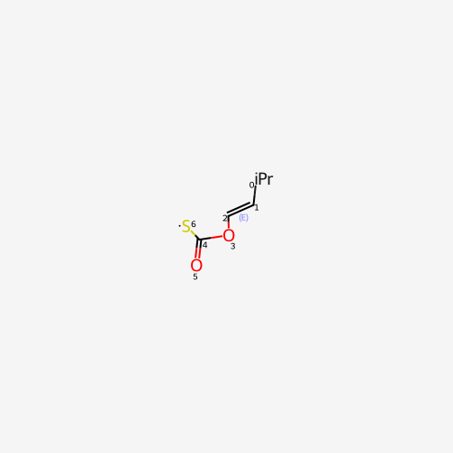 CC(C)/C=C/OC(=O)[S]